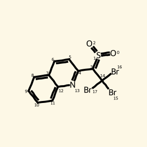 O=S(=O)=C(c1ccc2ccccc2n1)C(Br)(Br)Br